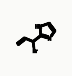 C=CC(Br)c1ncc[nH]1